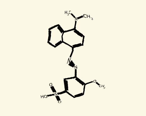 COc1ccc(S(=O)(=O)O)cc1N=Nc1ccc(N(C)C)c2ccccc12